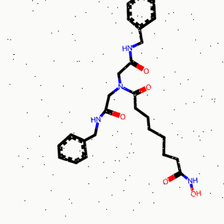 O=C(CCCCCCC(=O)N(CC(=O)NCc1ccccc1)CC(=O)NCc1ccccc1)NO